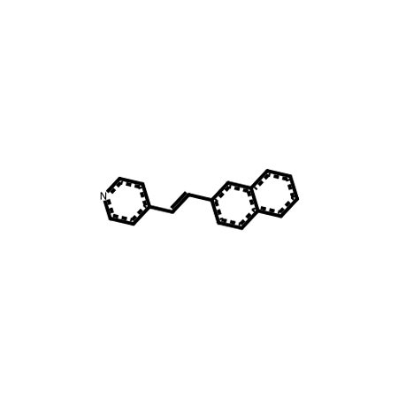 C(=C\c1ccc2ccccc2c1)/c1ccncc1